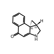 O=C1C=C2NC[C@H]3C[C@@]23c2ccccc21